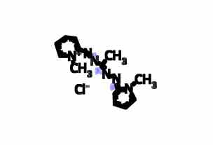 CC(/N=N/c1cccc[n+]1C)=N\N=c1/ccccn1C.[Cl-]